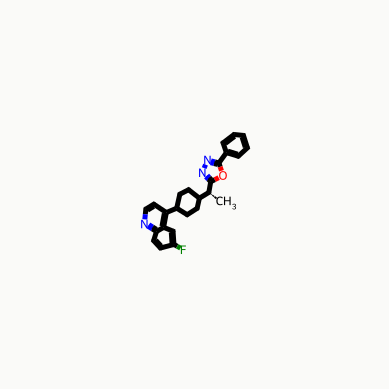 C[C@@H](c1nnc(-c2ccccc2)o1)C1CCC(c2ccnc3ccc(F)cc23)CC1